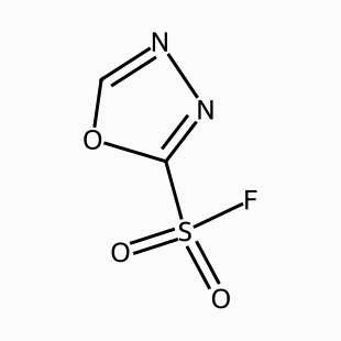 O=S(=O)(F)c1nnco1